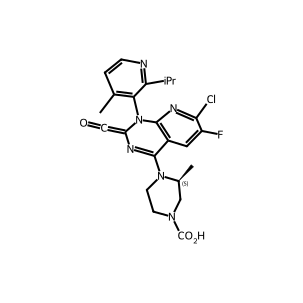 Cc1ccnc(C(C)C)c1N1C(=C=O)N=C(N2CCN(C(=O)O)C[C@@H]2C)c2cc(F)c(Cl)nc21